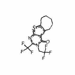 O=c1c2c3c(sc2nc(C(F)(F)F)n1CC(F)(F)F)CCCCC3